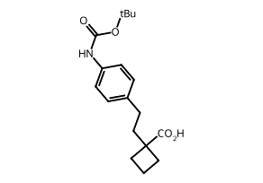 CC(C)(C)OC(=O)Nc1ccc(CCC2(C(=O)O)CCC2)cc1